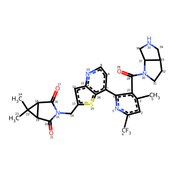 Cc1cc(C(F)(F)F)nc(-c2ccnc3cc(CN4C(=O)C5C(C4=O)C5(C)C)sc23)c1C(=O)N1CCC2CNCC21